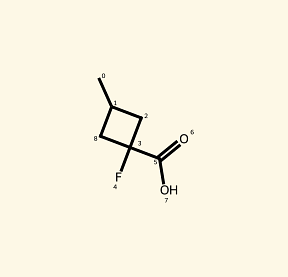 CC1CC(F)(C(=O)O)C1